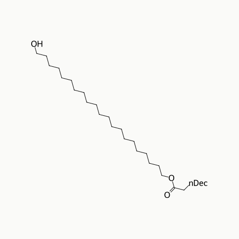 CCCCCCCCCCCC(=O)OCCCCCCCCCCCCCCCCCCCCCO